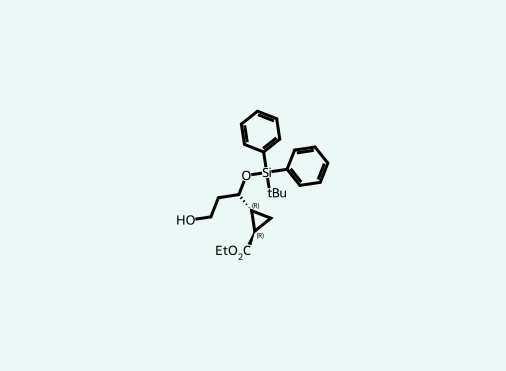 CCOC(=O)[C@@H]1C[C@H]1C(CCO)O[Si](c1ccccc1)(c1ccccc1)C(C)(C)C